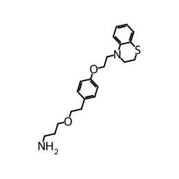 NCCCOCCc1ccc(OCCN2CCSc3ccccc32)cc1